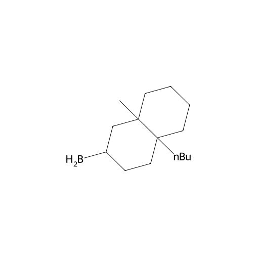 BC1CCC2(CCCC)CCCCC2(C)C1